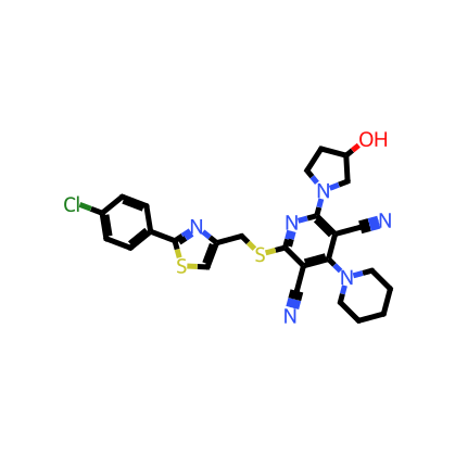 N#Cc1c(SCc2csc(-c3ccc(Cl)cc3)n2)nc(N2CCC(O)C2)c(C#N)c1N1CCCCC1